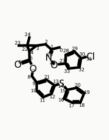 CC(CC1C(C(=O)OCc2cccc(Sc3ccccc3)c2)C1(C)C)=NOc1ccc(Cl)cc1